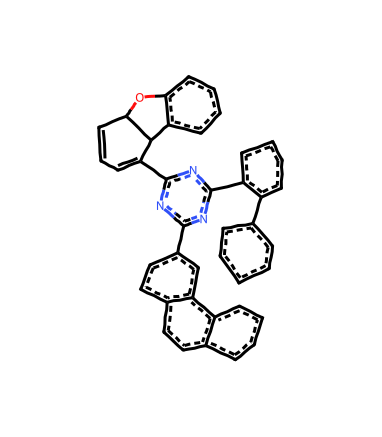 C1=CC2Oc3ccccc3C2C(c2nc(-c3ccc4ccc5ccccc5c4c3)nc(-c3ccccc3-c3ccccc3)n2)=C1